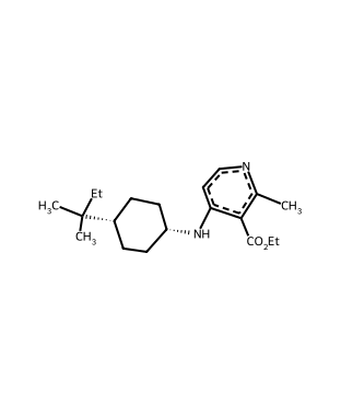 CCOC(=O)c1c(N[C@H]2CC[C@@H](C(C)(C)CC)CC2)ccnc1C